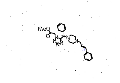 COC(=O)Cn1nnnc1[C@H](C1C=CC=CC1)N1CCN(C/C=C/c2ccccc2)CC1